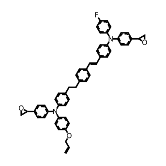 C=CCOc1ccc(N(c2ccc(CCc3ccc(C=Cc4ccc(N(c5ccc(F)cc5)c5ccc(C6CO6)cc5)cc4)cc3)cc2)c2ccc(C3CO3)cc2)cc1